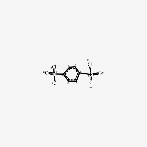 O=P(Cl)(Cl)c1ccc(P(=O)(Cl)Cl)cc1